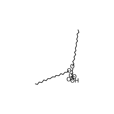 CCCCCCCCCCCCCCCCOCC(COS(=O)(=O)O)OCCCCCCCCCCCCCCCC